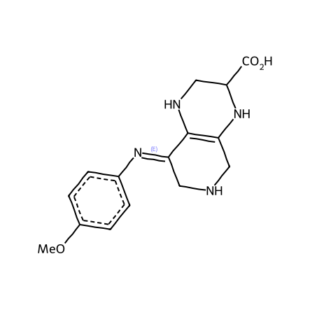 COc1ccc(/N=C2\CNCC3=C2NCC(C(=O)O)N3)cc1